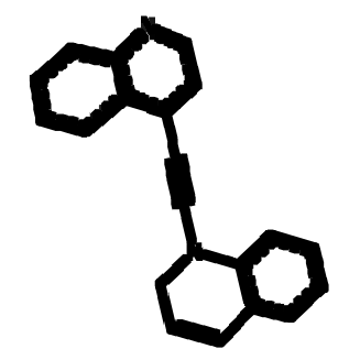 C(#CN1CC=Cc2ccccc21)c1ccnc2ccccc12